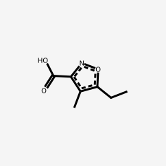 CCc1onc(C(=O)O)c1C